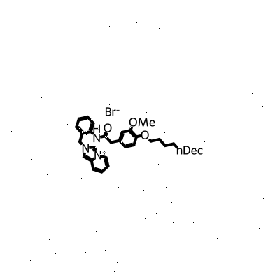 CCCCCCCCCCCCCCOc1ccc(CC(=O)Nc2ccccc2Cn2cc3cccc[n+]3c2)cc1OC.[Br-]